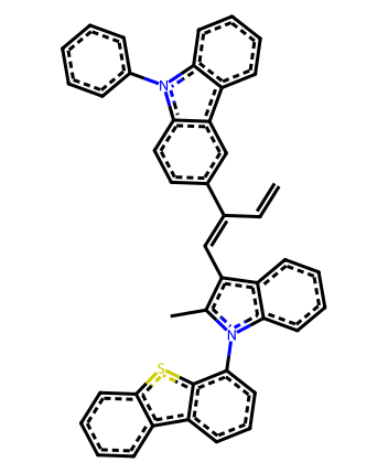 C=C/C(=C\c1c(C)n(-c2cccc3c2sc2ccccc23)c2ccccc12)c1ccc2c(c1)c1ccccc1n2-c1ccccc1